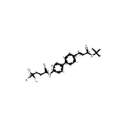 CC(C)(C)OC(=O)/C=C/c1ccc(-c2ccc(OC(=O)CCC(F)(F)F)cc2)cc1